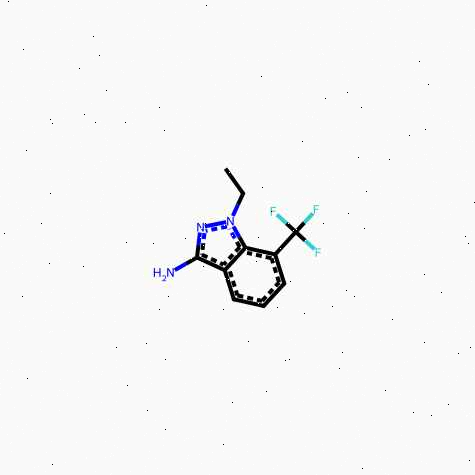 CCn1nc(N)c2cccc(C(F)(F)F)c21